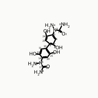 NC(=O)N(N)c1cc(O)c(-c2cc(O)c(N(N)C(N)=O)cc2O)cc1O